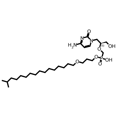 CC(C)CCCCCCCCCCCCCCOCCCOP(=O)(O)CO[C@H](CO)Cn1ccc(N)nc1=O